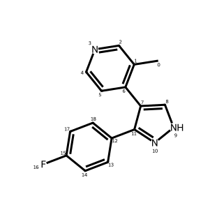 Cc1cnccc1-c1c[nH]nc1-c1ccc(F)cc1